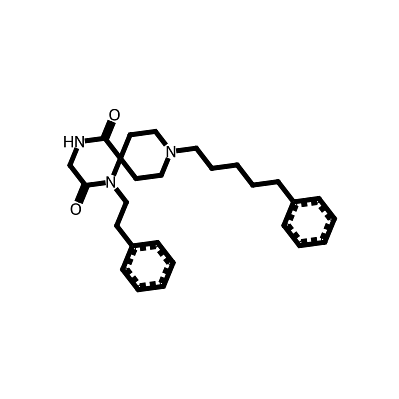 O=C1CNC(=O)C2(CCN(CCCCCc3ccccc3)CC2)N1CCc1ccccc1